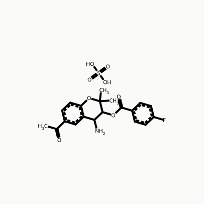 CC(=O)c1ccc2c(c1)C(N)C(OC(=O)c1ccc(F)cc1)C(C)(C)O2.O=S(=O)(O)O